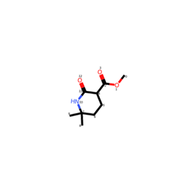 COC(=O)C1CCC(C)(C)NC1=O